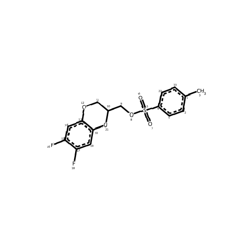 Cc1ccc(S(=O)(=O)OCC2COc3cc(F)c(F)cc3O2)cc1